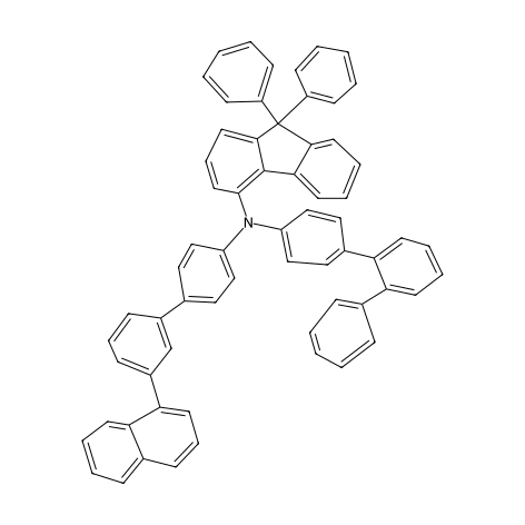 c1ccc(-c2ccccc2-c2ccc(N(c3ccc(-c4cccc(-c5cccc6ccccc56)c4)cc3)c3cccc4c3-c3ccccc3C4(c3ccccc3)c3ccccc3)cc2)cc1